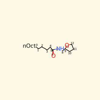 CCCCCCCCCCCCC(=O)NCC1CCCO1